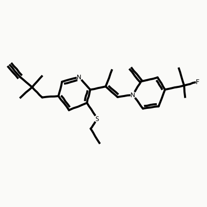 C#CC(C)(C)Cc1cnc(/C(C)=C/N2C=CC(C(C)(C)F)=CC2=C)c(SCC)c1